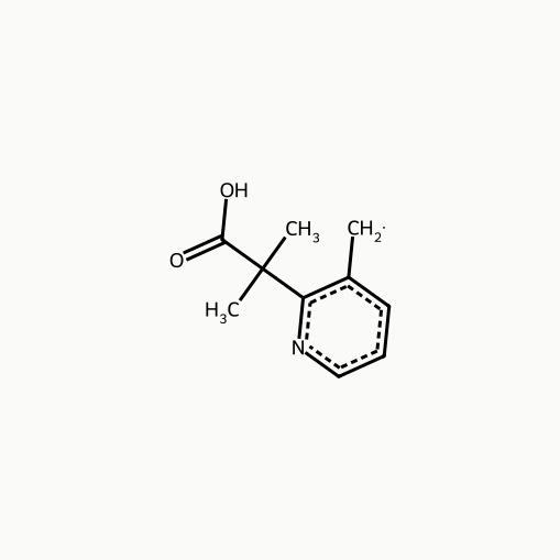 [CH2]c1cccnc1C(C)(C)C(=O)O